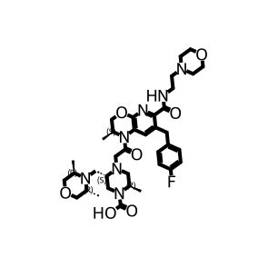 C[C@@H]1CN(CC(=O)N2c3cc(Cc4ccc(F)cc4)c(C(=O)NCCN4CCOCC4)nc3OC[C@@H]2C)[C@@H](CN2[C@H](C)COC[C@H]2C)CN1C(=O)O